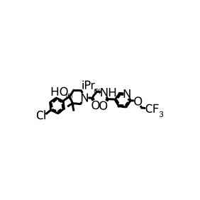 CC(C)[C@@H](NC(=O)c1ccc(OCC(F)(F)F)nc1)C(=O)N1CC[C@](O)(c2ccc(Cl)cc2)C(C)(C)C1